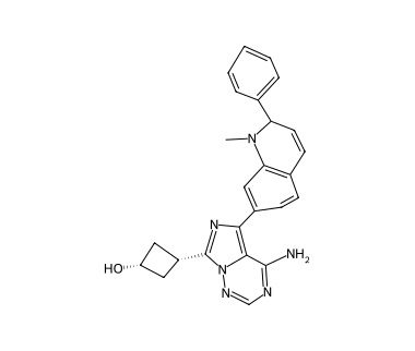 CN1c2cc(-c3nc([C@H]4C[C@@H](O)C4)n4ncnc(N)c34)ccc2C=CC1c1ccccc1